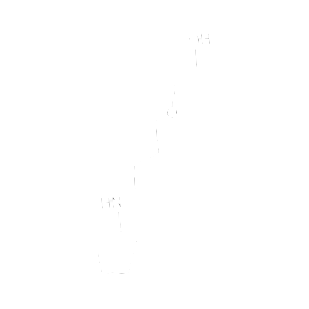 OCCOCCCCNC1CCCC1